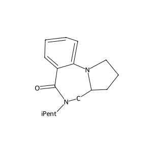 CCCC(C)N1CC2CCCN2c2ccccc2C1=O